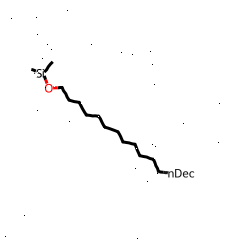 CCCCCCCCCCCCCCCCCCCCCCO[Si](C)C